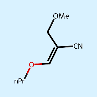 CCCOC=C(C#N)COC